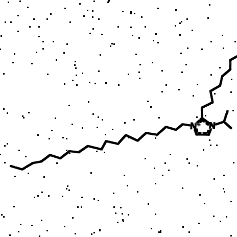 CCCCCCCCCCCCCCCCCCC[n+]1ccn(C(C)C)c1CCCCCCCC